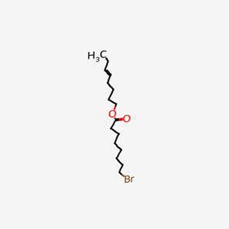 CCC=CCCCCOC(=O)CCCCCCCBr